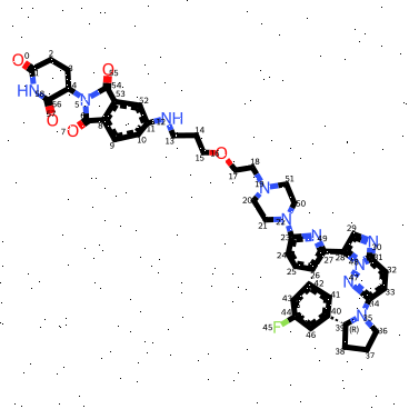 O=C1CCC(N2C(=O)c3ccc(NCCCOCCN4CCN(c5cccc(-c6cnc7ccc(N8CCC[C@@H]8c8cccc(F)c8)nn67)n5)CC4)cc3C2=O)C(=O)N1